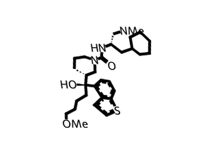 CNC[C@H](CC1CCCCC1)NC(=O)N1CCC[C@@H]([C@@](O)(CCCCOC)c2cccc3sccc23)C1